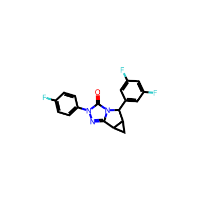 O=c1n(-c2ccc(F)cc2)nc2n1C(c1cc(F)cc(F)c1)C1CC21